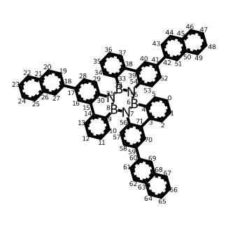 c1ccc2c(c1)B1N(B3c4ccccc4-c4cc(-c5ccc6ccccc6c5)ccc4N3B3c4ccccc4-c4cc(-c5ccc6ccccc6c5)ccc4N13)c1ccc(-c3ccc4ccccc4c3)cc1-2